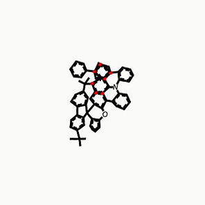 CC(C)(C)c1ccc2c(c1)C1(c3ccccc3Oc3c(-c4ccccc4N(c4ccccc4-c4ccc(-c5ccccc5)cc4)c4cccc5ccccc45)cccc31)c1cc(C(C)(C)C)ccc1-2